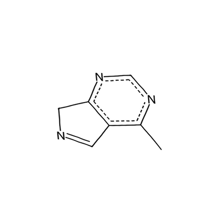 Cc1ncnc2c1C=NC2